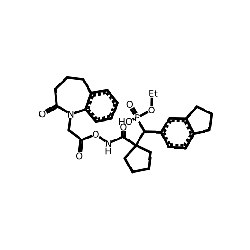 CCOP(=O)(O)C(c1ccc2c(c1)CCC2)C1(C(=O)NOC(=O)CN2C(=O)CCCc3ccccc32)CCCC1